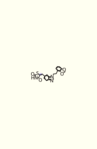 O=C1NC(=O)/C(=C\c2ccc3ncn(CCc4cccc5c4OCO5)c3c2)S1